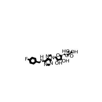 O=P(O)(O)OC[C@H]1O[C@@H](n2cnc3c(NCc4ccc(F)cc4)ncnc32)[C@H](O)[C@@H]1O